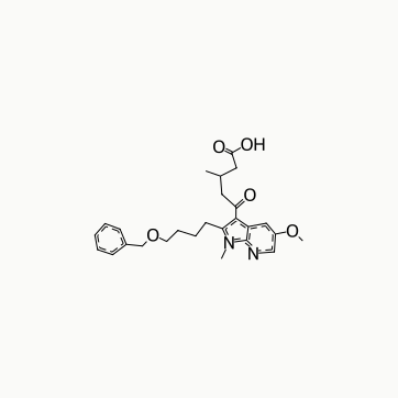 COc1cnc2c(c1)c(C(=O)CC(C)CC(=O)O)c(CCCCOCc1ccccc1)n2C